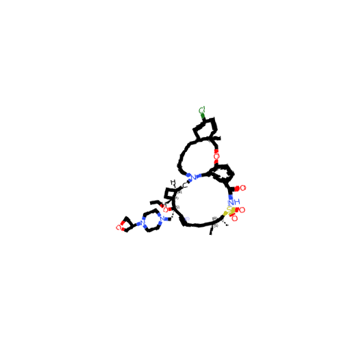 CCO[C@]1(CN2CCN(C3COC3)CC2)/C=C/C[C@H](C)[C@@H](C)S(=O)(=O)NC(=O)c2ccc3c(c2)N(CCCCC2C=C(Cl)C=CC2(C)CO3)C[C@@H]2CC[C@H]21